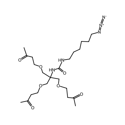 CC(=O)CCOCC(COCCC(C)=O)(COCCC(C)=O)NC(=O)NCCCCCCN=[N+]=[N-]